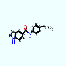 O=C(O)Cc1ccc(NC(=O)c2ccc3[nH]nnc3c2)cc1